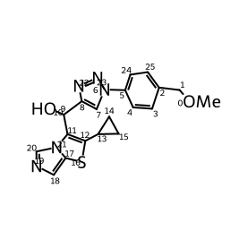 COCc1ccc(-n2cc(C(O)c3c(C4CC4)sc4cncn34)nn2)cc1